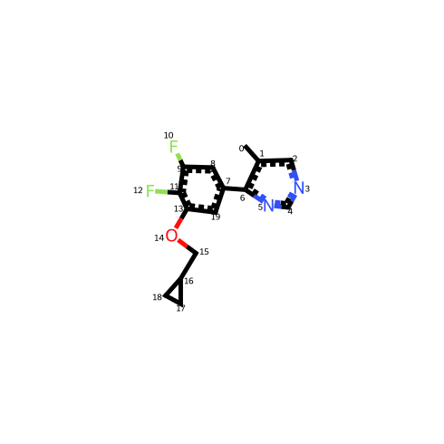 Cc1cncnc1-c1cc(F)c(F)c(OCC2CC2)c1